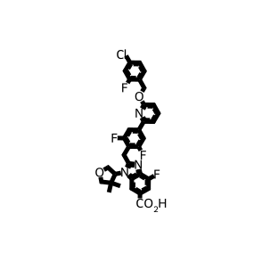 CC1(C)COCC1n1c(Cc2c(F)cc(-c3cccc(OCc4ccc(Cl)cc4F)n3)cc2F)nc2c(F)cc(C(=O)O)cc21